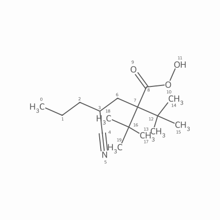 CCCC(C#N)CC(C(=O)OO)(C(C)(C)C)C(C)(C)C